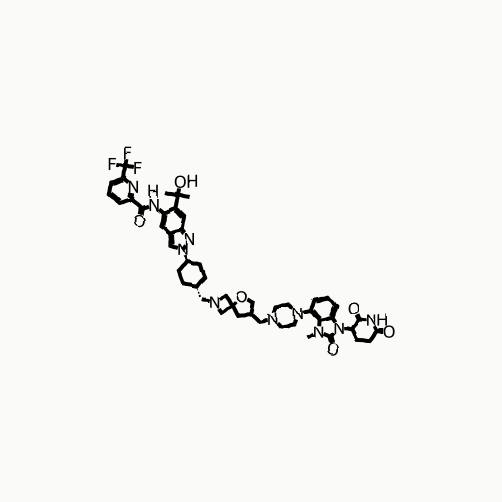 Cn1c(=O)n(C2CCC(=O)NC2=O)c2cccc(N3CCN(CC4COC5(C4)CN(C[C@H]4CC[C@H](n6cc7cc(NC(=O)c8cccc(C(F)(F)F)n8)c(C(C)(C)O)cc7n6)CC4)C5)CC3)c21